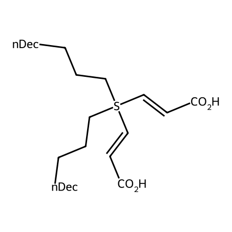 CCCCCCCCCCCCCS(C=CC(=O)O)(C=CC(=O)O)CCCCCCCCCCCCC